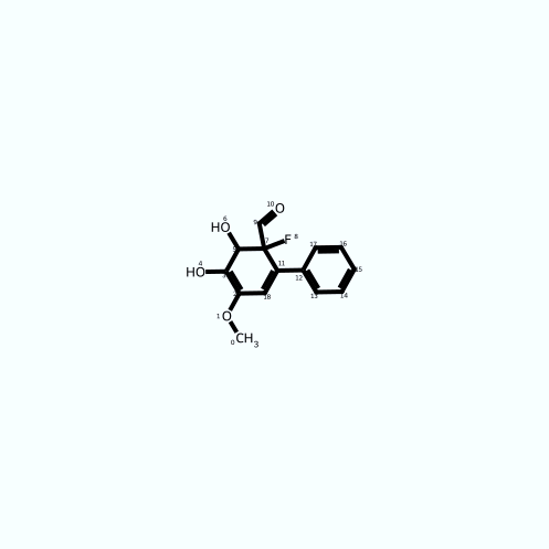 COC1=C(O)C(O)C(F)(C=O)C(c2ccccc2)=C1